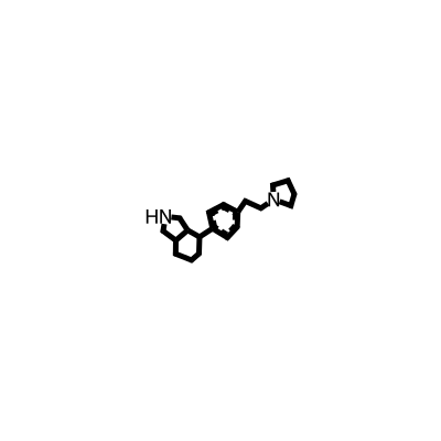 c1cc(C2CCCC3CNCC32)ccc1CCN1CCCC1